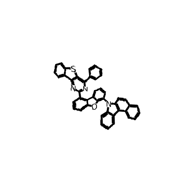 c1ccc(-c2nc(-c3cccc4oc5c(-n6c7ccccc7c7c8ccccc8ccc76)cccc5c34)nc3c2sc2ccccc23)cc1